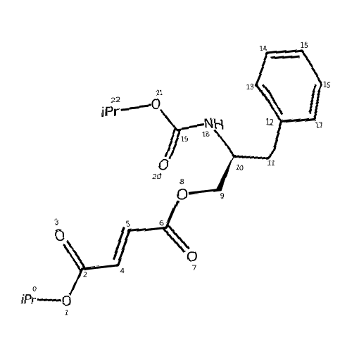 CC(C)OC(=O)/C=C/C(=O)OC[C@H](Cc1ccccc1)NC(=O)OC(C)C